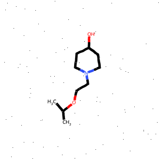 CC(C)OCCN1CCC(O)CC1